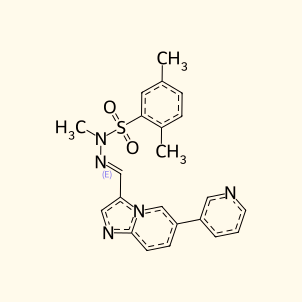 Cc1ccc(C)c(S(=O)(=O)N(C)/N=C/c2cnc3ccc(-c4cccnc4)cn23)c1